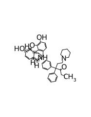 CCC(=O)C(CCN1CCCCC1)(c1ccccc1)c1ccccc1.Oc1ccc2c3c1O[C@H]1[C@@H](O)C=C[C@H]4[C@@H](C2)NCC[C@@]341